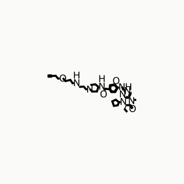 C#CCCOCCCNCCCN1CCC(NC(=O)c2ccc(Nc3ncc4c(n3)N(C3CCCC3)[C@H](CC)C(=O)N4C)c(OC)c2)CC1